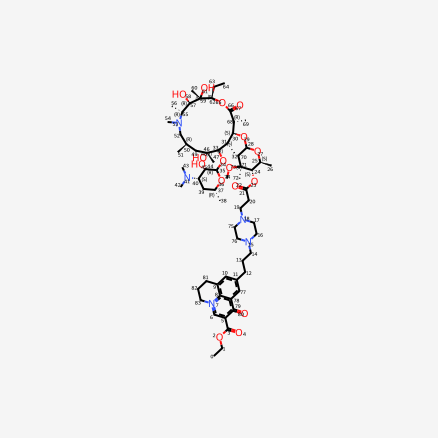 CCOC(=O)c1cn2c3c(cc(CCCN4CCN(CCC(=O)O[C@H]5[C@H](C)OC(O[C@H]6[C@H](C)[C@@H](OC7O[C@H](C)C[C@H](N(C)C)[C@H]7O)[C@](C)(O)C[C@@H](C)CN(C)[C@H](C)[C@@H](O)[C@](C)(O)[C@@H](CC)OC(=O)[C@@H]6C)C[C@]5(C)OC)CC4)cc3c1=O)CCC2